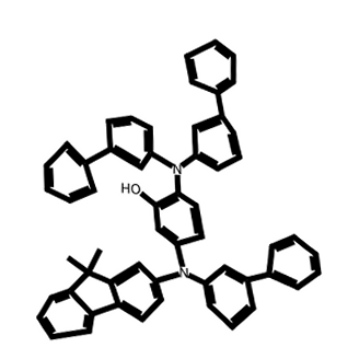 CC1(C)c2ccccc2-c2ccc(N(c3cccc(-c4ccccc4)c3)c3ccc(N(c4cccc(-c5ccccc5)c4)c4cccc(-c5ccccc5)c4)c(O)c3)cc21